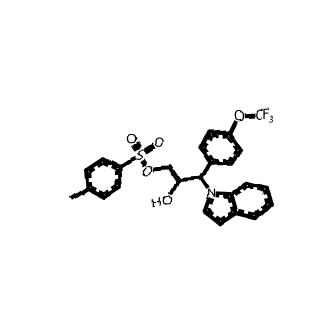 Cc1ccc(S(=O)(=O)OCC(O)C(c2ccc(OC(F)(F)F)cc2)n2ccc3ccccc32)cc1